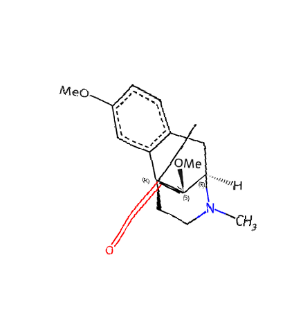 COc1ccc2c(c1)[C@]13CCN(C)[C@H](C2)[C@]1(OC)C=CC(=O)C3